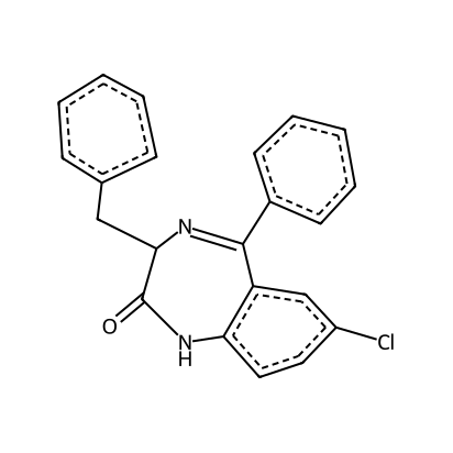 O=C1Nc2ccc(Cl)cc2C(c2ccccc2)=NC1Cc1ccccc1